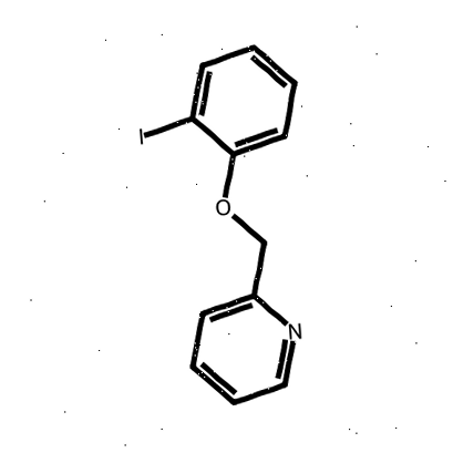 Ic1ccccc1OCc1ccccn1